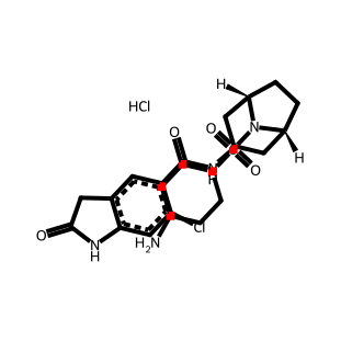 Cl.NC1CCN(S(=O)(=O)N2[C@@H]3CC[C@H]2C[C@H](NC(=O)c2cc4c(cc2Cl)NC(=O)C4)C3)CC1